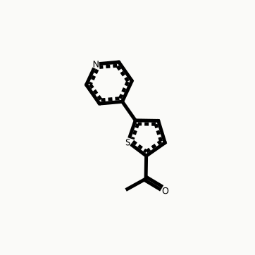 CC(=O)c1ccc(-c2ccncc2)s1